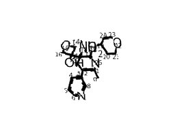 CC1=C(c2cccnc2)CC(N)(C2(O)COC2)C(OC2CCOCC2)=N1